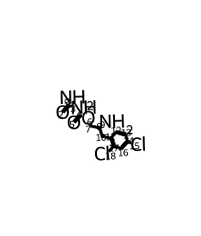 NC(=O)NC(=O)OC[C@H](N)Cc1ccc(Cl)cc1Cl